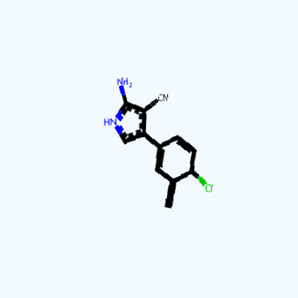 C=C1C=C(c2c[nH]c(N)c2C#N)C=CC1Cl